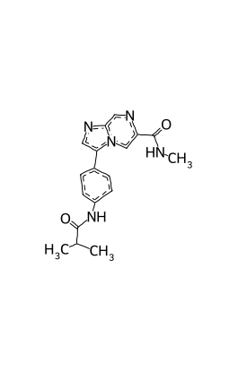 CNC(=O)c1cn2c(-c3ccc(NC(=O)C(C)C)cc3)cnc2cn1